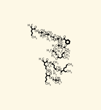 CC(=O)OOC(C)(C)C.CC(C)(C)OOC(=O)c1ccccc1.CC(CC(=O)OOOC(C)(C)C)CC(C)(C)C.CCC(C)(C)OOC(C)=O.CCCCC(CC)C(=O)OOC(C)(C)CCC(C)(C)OOC(=O)C(CC)CCCC.CCCCC(CC)C(=O)OOOC(C)(C)C.CCCCC(CC)C(=O)OOOC(C)(C)CC